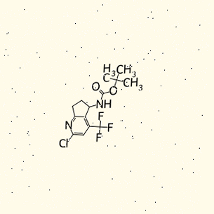 CC(C)(C)OC(=O)NC1CCc2nc(Cl)cc(C(F)(F)F)c21